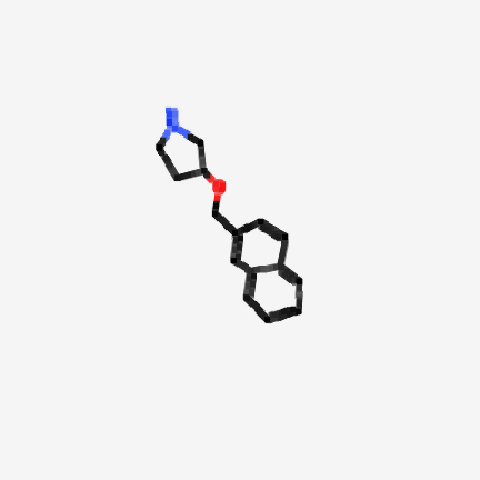 c1ccc2cc(COC3CCNC3)ccc2c1